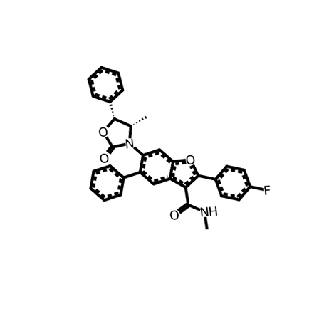 CNC(=O)c1c(-c2ccc(F)cc2)oc2cc(N3C(=O)O[C@H](c4ccccc4)[C@@H]3C)c(-c3ccccc3)cc12